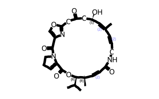 CC1=C/[C@@H](O)CC(=O)Cc2nc(co2)C(=O)N2CCC=C2C(=O)O[C@H](C(C)C)[C@H](C)/C=C\C(=O)NC/C=C\1